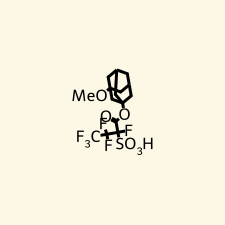 COC12CC3CC(C1)CC(OC(=O)C(F)(C(F)(F)C(F)(F)F)S(=O)(=O)O)(C3)C2